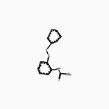 CC(C)(C)C(=O)Nc1ccccc1SSc1ccccc1